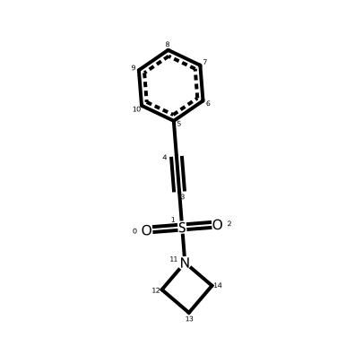 O=S(=O)(C#Cc1ccccc1)N1CCC1